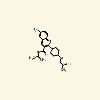 Cc1ccc2nc(N3CCC(NCC(C)O)CC3)c(C(=O)NC(C)N)cc2c1